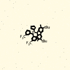 Cc1cc2c(cc1C(C)(C)C)-c1cc(C(C)(C)C)c(C)cc1[CH]2[Zr]([C]1=CC=CC1)=[C](c1cccc(C(F)(F)F)c1)c1cccc(C(F)(F)F)c1